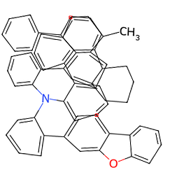 CC1CC=C(c2ccccc2)c2c(-c3ccccc3N(c3ccccc3-c3ccc4c(c3)oc3ccccc34)c3ccccc3-c3cccc4cccc(C5CCCCC5)c34)cccc21